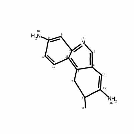 CC1Cc2c(cnc3cc(N)ccc23)C=C1N